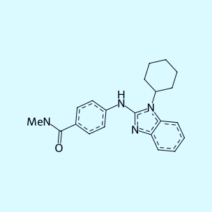 CNC(=O)c1ccc(Nc2nc3ccccc3n2C2CCCCC2)cc1